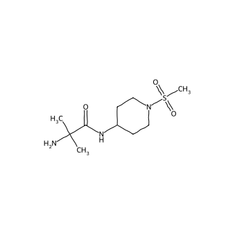 CC(C)(N)C(=O)NC1CCN(S(C)(=O)=O)CC1